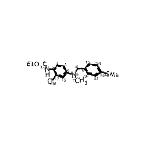 CCOC(=O)Nc1ccc(N(C)Cc2ccc(SC)cc2)cc1Cl